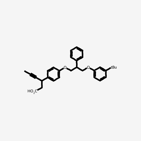 CC#CC(CC(=O)O)c1ccc(OCC(COc2cccc(C(C)(C)C)c2)c2ccccc2)cc1